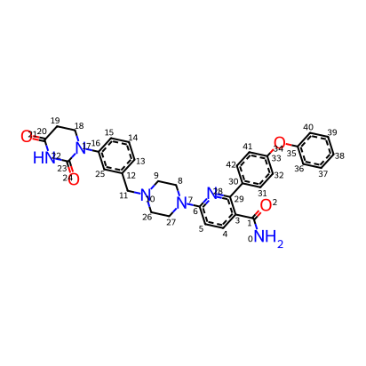 NC(=O)c1ccc(N2CCN(Cc3cccc(N4CCC(=O)NC4=O)c3)CC2)nc1-c1ccc(Oc2ccccc2)cc1